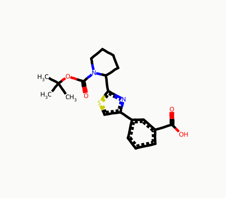 CC(C)(C)OC(=O)N1CCCCC1c1nc(-c2cccc(C(=O)O)c2)cs1